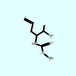 C=CCC(NC(=O)OC(C)(C)C)C(C)O